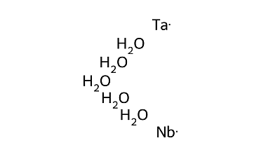 O.O.O.O.O.[Nb].[Ta]